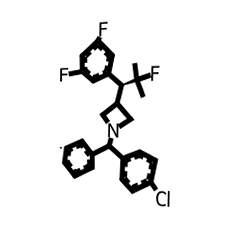 CC(C)(F)[C@H](c1cc(F)cc(F)c1)C1CN(C(c2c[c]ccc2)c2ccc(Cl)cc2)C1